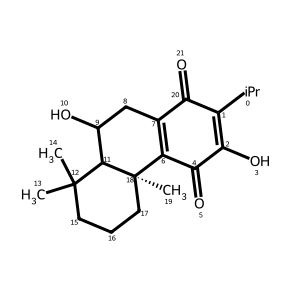 CC(C)C1=C(O)C(=O)C2=C(CC(O)C3C(C)(C)CCC[C@]23C)C1=O